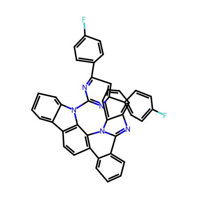 Fc1ccc(-c2cc(-c3ccc(F)cc3)nc(-n3c4ccccc4c4ccc5c6ccccc6c6nc7ccccc7n6c5c43)n2)cc1